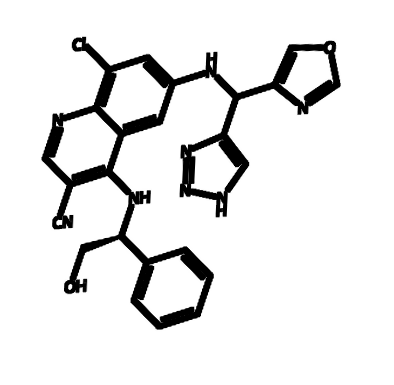 N#Cc1cnc2c(Cl)cc(NC(c3cocn3)c3c[nH]nn3)cc2c1N[C@H](CO)c1ccccc1